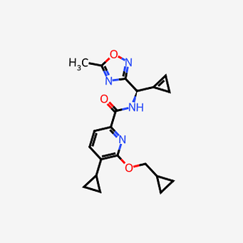 Cc1nc([C@H](NC(=O)c2ccc(C3CC3)c(OCC3CC3)n2)C2=CC2)no1